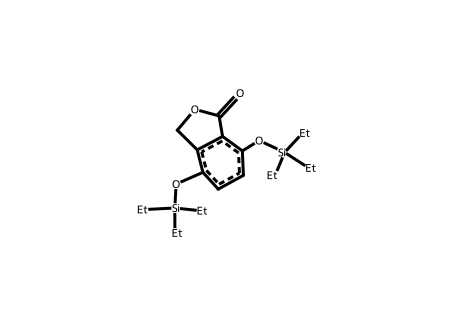 CC[Si](CC)(CC)Oc1ccc(O[Si](CC)(CC)CC)c2c1COC2=O